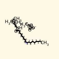 CCCCCCCC/C=C\CCCCCCCC(=O)NCCC[N+](C)(C)CC.CCOS(=O)(=O)[O-]